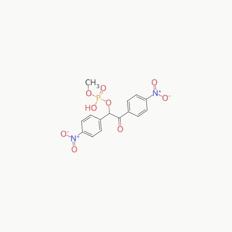 COP(=O)(O)OC(C(=O)c1ccc([N+](=O)[O-])cc1)c1ccc([N+](=O)[O-])cc1